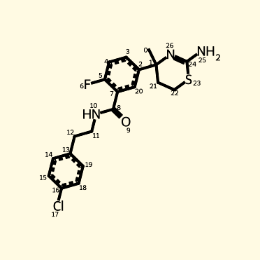 CC1(c2ccc(F)c(C(=O)NCCc3ccc(Cl)cc3)c2)CCSC(N)=N1